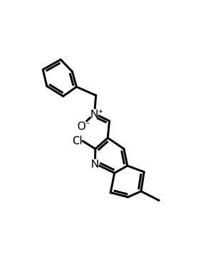 Cc1ccc2nc(Cl)c(/C=[N+](\[O-])Cc3ccccc3)cc2c1